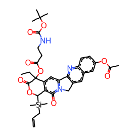 C=CC[Si](C)(C)C1OC(=O)C(CC)(OC(=O)CCNC(=O)OC(C)(C)C)c2cc3n(c(=O)c21)Cc1cc2cc(OC(C)=O)ccc2nc1-3